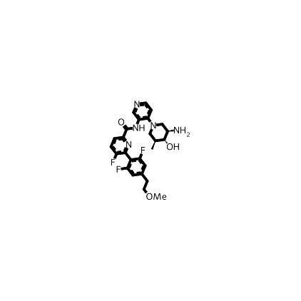 COCCc1cc(F)c(-c2nc(C(=O)Nc3cnccc3N3C[C@@H](N)[C@H](O)[C@@H](C)C3)ccc2F)c(F)c1